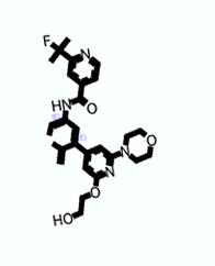 C=C(C)/C(=C\C(=C/C)NC(=O)c1ccnc(C(C)(C)F)c1)c1cc(OCCO)nc(N2CCOCC2)c1